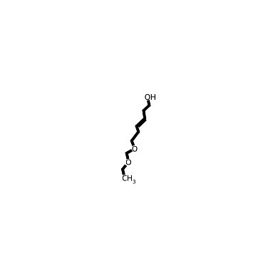 CCOCOCCC=CCCO